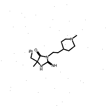 CC(C)CC1(C)NC(=N)N(CCC2CCN(C)CC2)C1=O